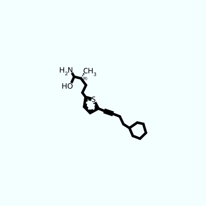 C[C@H](CCc1ccc(C#CCCC2CCCCC2)s1)C(N)O